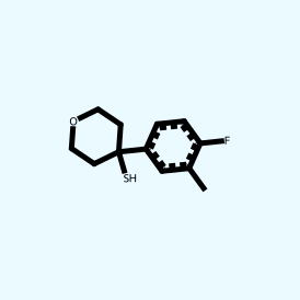 Cc1cc(C2(S)CCOCC2)ccc1F